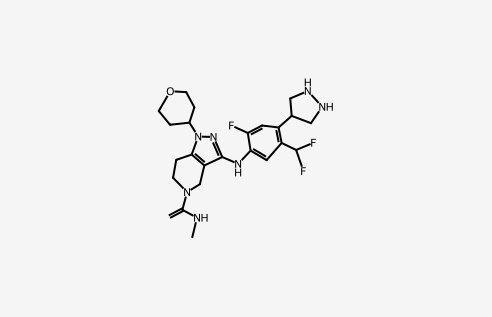 C=C(NC)N1CCc2c(c(Nc3cc(C(F)F)c(C4CNNC4)cc3F)nn2C2CCOCC2)C1